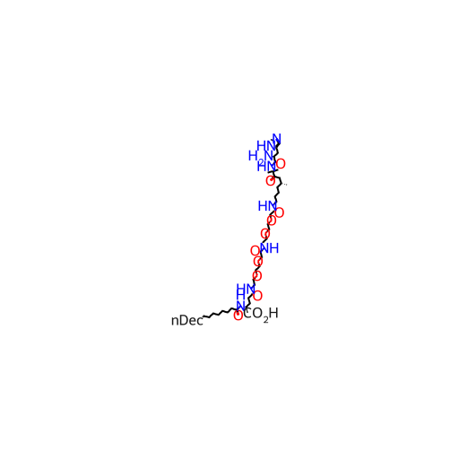 CCCCCCCCCCCCCCCCCC(=O)N[C@@H](CCC(=O)NCCOCCOCC(=O)NCCOCCOCC(=O)NCCCC[C@@H](C)CC(=O)C(C)(C)NC(=O)[C@@H](N)Cc1cnc[nH]1)C(=O)O